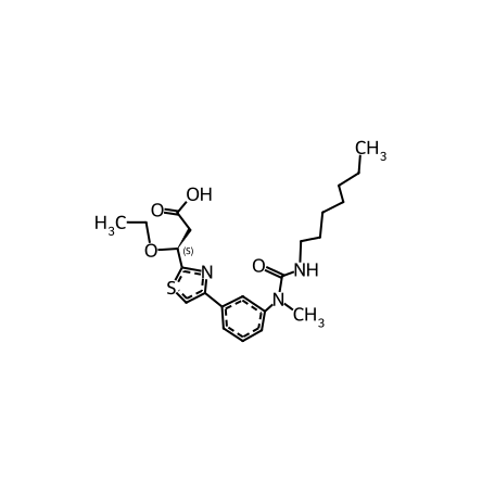 CCCCCCCNC(=O)N(C)c1cccc(-c2csc([C@H](CC(=O)O)OCC)n2)c1